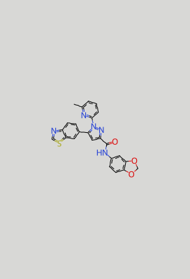 Cc1cccc(-n2nc(C(=O)Nc3ccc4c(c3)OCO4)cc2-c2ccc3ncsc3c2)n1